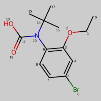 CCOc1cc(Br)ccc1N(C(=O)O)C(C)(C)C